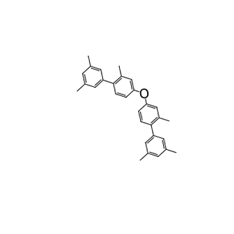 Cc1cc(C)cc(-c2ccc(Oc3ccc(-c4cc(C)cc(C)c4)c(C)c3)cc2C)c1